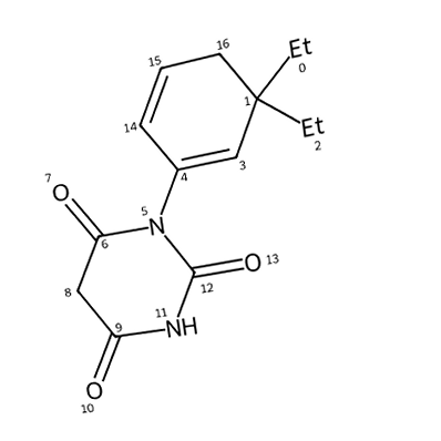 CCC1(CC)C=C(N2C(=O)CC(=O)NC2=O)C=CC1